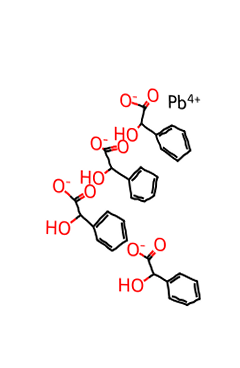 O=C([O-])C(O)c1ccccc1.O=C([O-])C(O)c1ccccc1.O=C([O-])C(O)c1ccccc1.O=C([O-])C(O)c1ccccc1.[Pb+4]